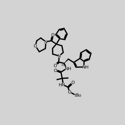 CC(C)(C)OC(=O)NC(C)(C)C(=O)N[C@H](Cc1c[nH]c2ccccc12)C(=O)N1CCC(C(=O)N2CCOCC2)(c2ccccc2)CC1